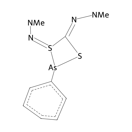 CNN=C1S[As](c2ccccc2)S1=NNC